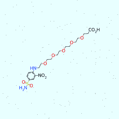 NS(=O)(=O)c1ccc(NCCOCCOCCOCCOCCOCCC(=O)O)c([N+](=O)[O-])c1